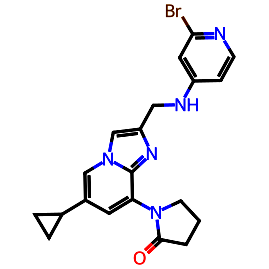 O=C1CCCN1c1cc(C2CC2)cn2cc(CNc3ccnc(Br)c3)nc12